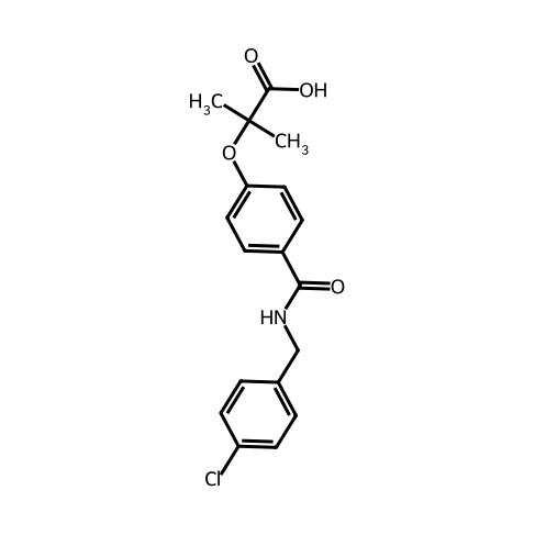 CC(C)(Oc1ccc(C(=O)NCc2ccc(Cl)cc2)cc1)C(=O)O